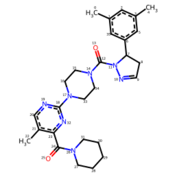 Cc1cc(C)cc(C2CC=NN2C(=O)N2CCN(c3ncc(C)c(C(=O)N4CCCCC4)n3)CC2)c1